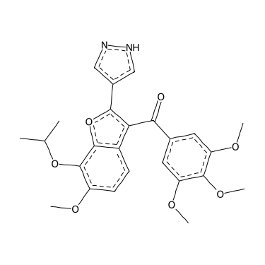 COc1cc(C(=O)c2c(-c3cn[nH]c3)oc3c(OC(C)C)c(OC)ccc23)cc(OC)c1OC